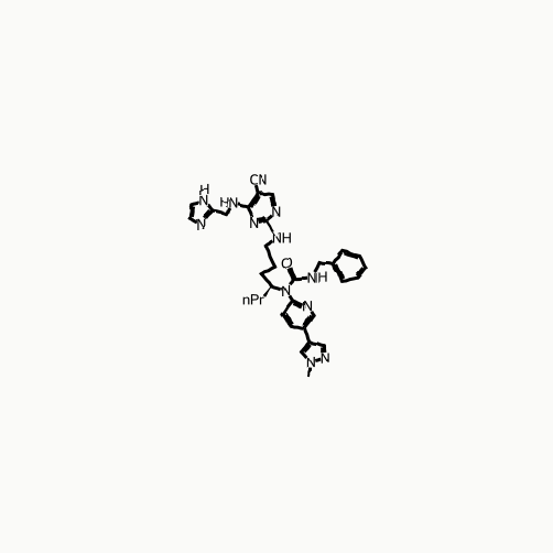 CCC[C@@H](CCCNc1ncc(C#N)c(NCc2ncc[nH]2)n1)N(C(=O)NCc1ccccc1)c1ccc(-c2cnn(C)c2)cn1